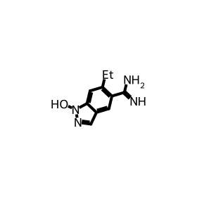 CCc1cc2c(cnn2O)cc1C(=N)N